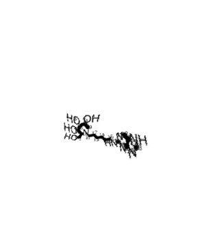 OCC1C(O)C(O)C(O)CN1CCCCCCNc1ncc2[nH]cnc2n1